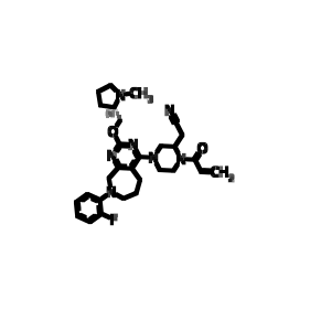 C=CC(=O)N1CCN(c2nc(OC[C@@H]3CCCN3C)nc3c2CCCN(c2ccccc2F)C3)CC1CC#N